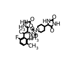 Cc1ccc(F)c(C(C)[C@H](NS(=O)(=O)N2CCC(C3NC(=O)NC3=O)CC2)c2n[nH]c(=O)o2)c1C